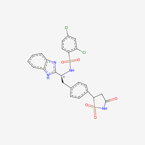 O=C1CC(c2ccc(C[C@H](NS(=O)(=O)c3ccc(Cl)cc3Cl)c3nc4ccccc4[nH]3)cc2)S(=O)(=O)N1